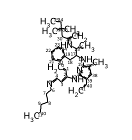 C=C/C(=C\C=N/CCCCCC)Nc1nc(NC(Cc2ccccc2)[C@H](C)NC(=C)CC(C)(C)CC)c(C)cc1C=C